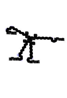 CCCCC/C=C\C/C=C\CCCCCCCC(=O)OCC(COC(=O)CCCCCCC/C=C\C/C=C\CCCCC)(COC(=O)CCCCCCC/C=C\C/C=C\CCCCC)COC(=O)CCCCCCC/C=C\C/C=C\CCCCC